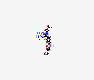 CCOC1CC(n2nc(-c3ccc(CC(=O)Nc4cc(CC(C)(C)C)no4)cc3)c(C(N)=O)c2N)C1